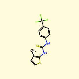 Cc1ccsc1NC(=S)Nc1ccc(C(F)(F)F)cc1